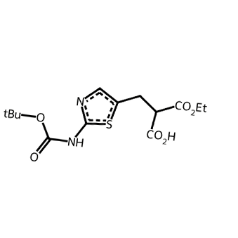 CCOC(=O)C(Cc1cnc(NC(=O)OC(C)(C)C)s1)C(=O)O